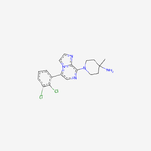 CC1(N)CCN(c2ncc(-c3cccc(Cl)c3Cl)n3ccnc23)CC1